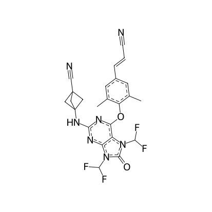 Cc1cc(/C=C/C#N)cc(C)c1Oc1nc(NC23CC(C#N)(C2)C3)nc2c1n(C(F)F)c(=O)n2C(F)F